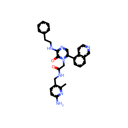 Cc1nc(N)ccc1CNC(=O)Cn1c(-c2cccc3cnccc23)cnc(NCCc2ccccc2)c1=O